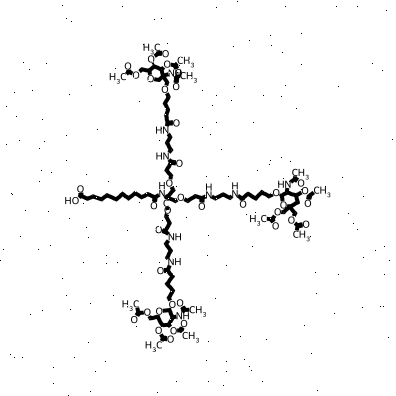 CC(=O)NC1C(OC(C)=O)CC(COC(C)=O)(COC(C)=O)O[C@H]1OCCCCC(=O)NCCCNC(=O)CCOCC(COCCC(=O)NCCCNC(=O)CCCCOCC1(NC(C)=O)COC(COC(C)=O)[C@@H](OC(C)=O)C1OC(C)=O)(COCCC(=O)NCCCNC(=O)CCCCO[C@@H]1OC(COC(C)=O)[C@@H](OC(C)=O)C(OC(C)=O)C1NC(C)=O)NC(=O)CCCCCCCCCCC(=O)O